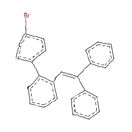 Brc1ccc(-c2ccccc2C=C(c2ccccc2)c2ccccc2)cc1